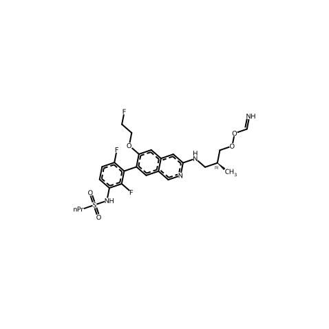 CCCS(=O)(=O)Nc1ccc(F)c(-c2cc3cnc(NC[C@H](C)COOC=N)cc3cc2OCCF)c1F